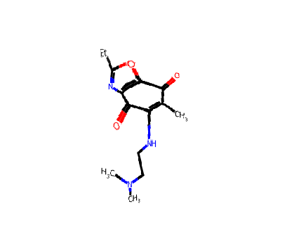 CCc1nc2c(o1)C(=O)C(C)=C(NCCN(C)C)C2=O